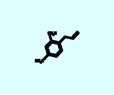 C=CCc1ccc(C(=O)O)cc1C(=O)O